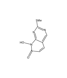 CSc1ncc2ccc(=O)n(O)c2n1